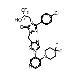 O=c1n(Cc2ncn(-c3cnccc3N3CCC(F)(F)CC3)n2)nc(-c2ccc(Cl)cc2)n1C[C@H](O)C(F)(F)F